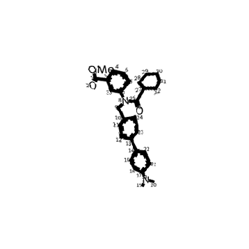 COC(=O)c1cccc(N(Cc2ccc(-c3ccc(N(C)C)cc3)cc2)C(=O)C2CCCCC2)c1